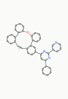 C1=C\c2ccc(-c3cc(-c4ccccc4)nc(-c4cccnc4)n3)cc2-c2ccccc2Oc2ccccc2-c2ccccc2/1